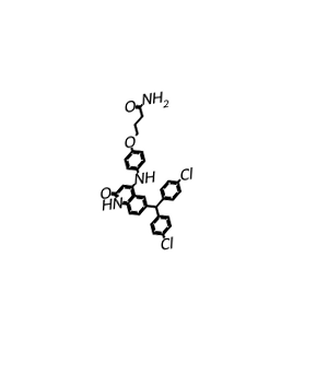 NC(=O)CCCOc1ccc(Nc2cc(=O)[nH]c3ccc(C(c4ccc(Cl)cc4)c4ccc(Cl)cc4)cc23)cc1